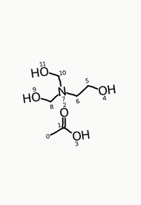 CC(=O)O.OCCN(CO)CO